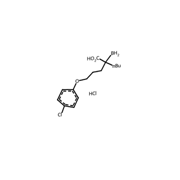 BC(CCCC)(CCCOc1ccc(Cl)cc1)C(=O)O.Cl